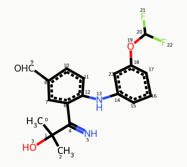 CC(C)(O)C(=N)c1cc(C=O)ccc1Nc1cccc(OC(F)F)c1